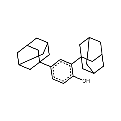 Oc1ccc(C23CC4CC(CC(C4)C2)C3)cc1C12CC3CC(CC(C3)C1)C2